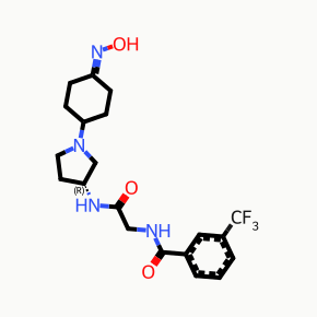 O=C(CNC(=O)c1cccc(C(F)(F)F)c1)N[C@@H]1CCN(C2CCC(=NO)CC2)C1